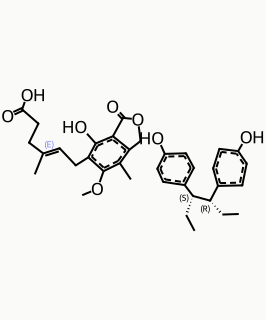 CC[C@H](c1ccc(O)cc1)[C@@H](CC)c1ccc(O)cc1.COc1c(C)c2c(c(O)c1C/C=C(\C)CCC(=O)O)C(=O)OC2